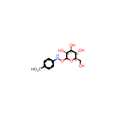 O=C(O)c1ccc(NOC2O[C@H](CO)[C@@H](O)[C@H](O)[C@@H]2O)cc1